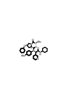 CC(C)(C)OC(=O)N1C[C@H](Oc2ccccc2)C[C@@H]1C(=O)N(c1ccc(C(C)(C)C)cc1)[C@@H](C(=O)NC1CCCCC1)c1cccnc1